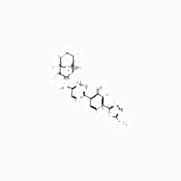 CN(c1cnc(-c2ccc(-c3nnc(C#N)s3)cc2O)nn1)[C@H]1C[C@@H]2CCC[C@@](C)(N2)[C@H]1F